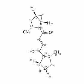 [C-]#[N+][C@@H]1C[C@@H]2C[C@@H]2N1C(=O)/C=C/C(=O)N1[C@H](C)C[C@@H]2C[C@@H]21